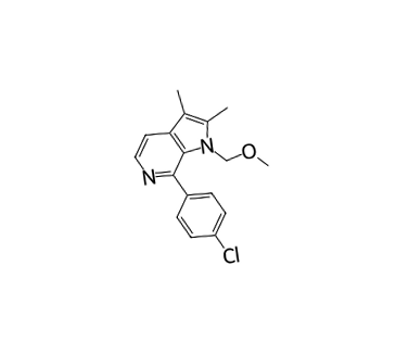 COCn1c(C)c(C)c2ccnc(-c3ccc(Cl)cc3)c21